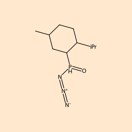 CC1CCC(C(C)C)C([PH](=O)N=[N+]=[N-])C1